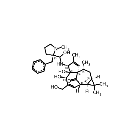 CC1=C[C@]23C(=O)[C@@H](C=C(CO)[C@@H](O)[C@]2(O)[C@H]1NC(O)[C@]1(Cc2ccccc2)CCCN1C)[C@H]1[C@@H](C[C@H]3C)C1(C)C